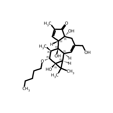 CCCCCO[C@@H]1[C@@H](C)[C@@]2(O)[C@@H](C=C(CO)C[C@]3(O)C(=O)C(C)=C[C@@H]23)[C@H]2C(C)(C)[C@]12O